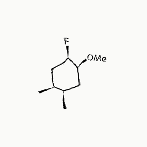 CO[C@H]1C[C@@H](C)[C@@H](C)C[C@H]1F